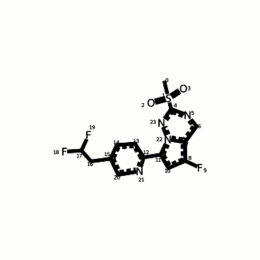 CS(=O)(=O)c1ncc2c(F)cc(-c3ccc(CC(F)F)cn3)n2n1